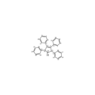 c1ccc(C2=C(c3ccccc3)C(c3ccccc3)PC2c2ccccc2)cc1